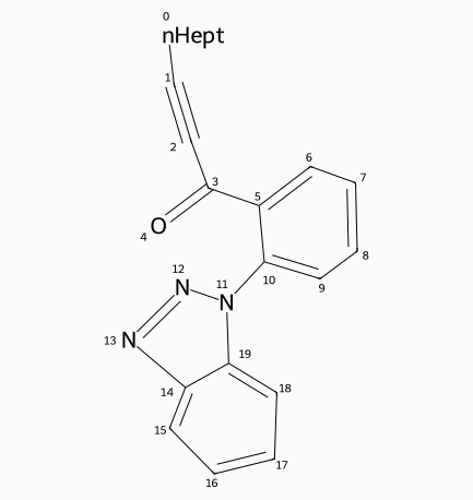 CCCCCCCC#CC(=O)c1ccccc1-n1nnc2ccccc21